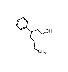 CCCCC(CCO)c1ccccc1